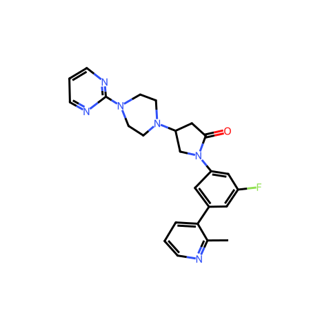 Cc1ncccc1-c1cc(F)cc(N2CC(N3CCN(c4ncccn4)CC3)CC2=O)c1